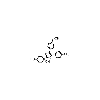 Cc1ccc(-c2sc(C3(O)CCC(O)CC3)nc2-c2ccc(CO)cc2)cc1